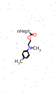 CCCCCCCC(=O)OCCN(C)c1ccc(C)cc1